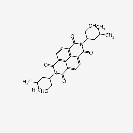 CC(C)CC(CO)N1C(=O)c2ccc3c4c(ccc(c24)C1=O)C(=O)N(C(CO)CC(C)C)C3=O